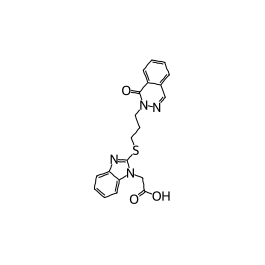 O=C(O)Cn1c(SCCCn2ncc3ccccc3c2=O)nc2ccccc21